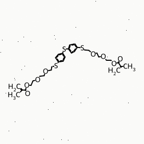 C=C(C)C(=O)OCCOCCOCCSc1ccc(Sc2ccc(SCCOCCOCCOC(=O)C(=C)C)cc2)cc1